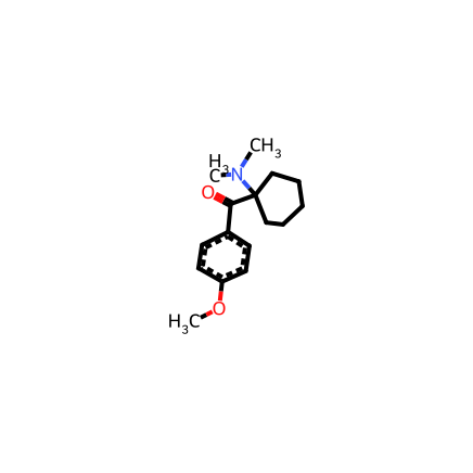 COc1ccc(C(=O)C2(N(C)C)CCCCC2)cc1